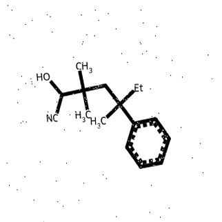 CCC(C)(CC(C)(C)C(O)C#N)c1ccccc1